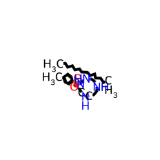 CCCCCCCCCCCCCC.Cc1ccc(S(=O)(=O)N2CCNCCCNCCNC2)cc1